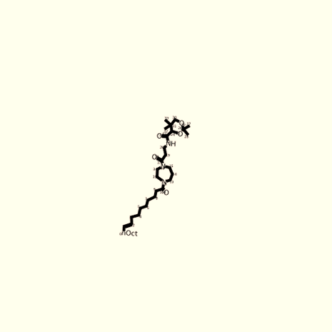 CCCCCCCCC=CCCCCCCCC(=O)N1CCCN(C(=O)CCNC(=O)C2OC(C)(C)OCC2(C)C)CC1